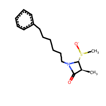 C[C@H]1C(=O)N(CCCCCCc2ccccc2)[C@@H]1[S+](C)[O-]